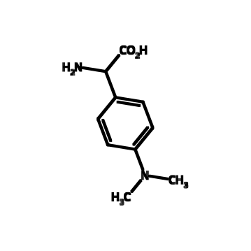 CN(C)c1ccc(C(N)C(=O)O)cc1